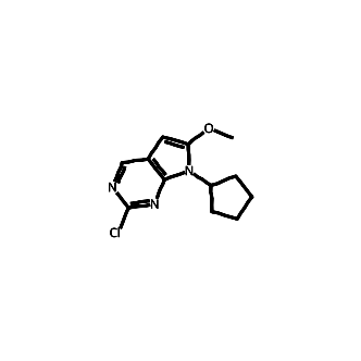 COc1cc2cnc(Cl)nc2n1C1CCCC1